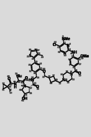 CNc1nc(Nc2ccc(C(=O)N3CCN(CC4CC(COc5cc(-c6scnc6C)ccc5CNC(=O)[C@@H]5C[C@@H](O)CN5C(=O)C(NC(=O)C5(F)CC5)C(C)(C)C)C4)CC3)cc2OC)ncc1Cl